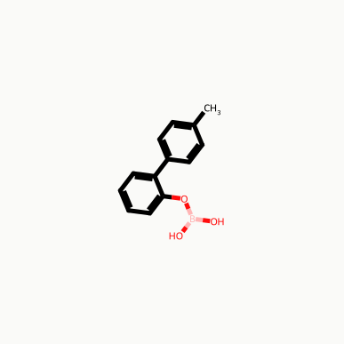 Cc1ccc(-c2ccccc2OB(O)O)cc1